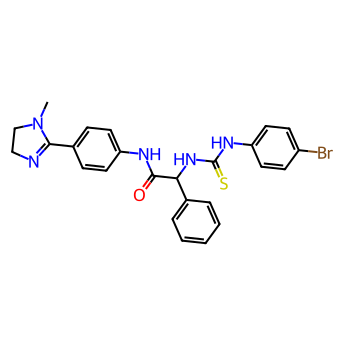 CN1CCN=C1c1ccc(NC(=O)C(NC(=S)Nc2ccc(Br)cc2)c2ccccc2)cc1